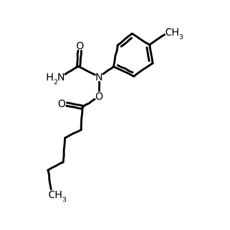 CCCCCC(=O)ON(C(N)=O)c1ccc(C)cc1